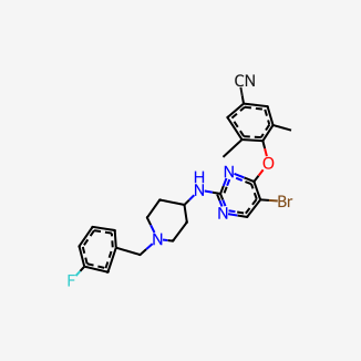 Cc1cc(C#N)cc(C)c1Oc1nc(NC2CCN(Cc3cccc(F)c3)CC2)ncc1Br